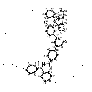 c1ccc(C2NC(c3ccc(-c4cccc(-c5ccc6c(c5)C5(c7ccccc7O6)c6ccccc6-c6ccccc65)c4)cc3)=Nc3ccccc32)cc1